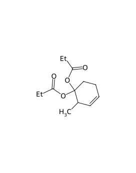 CCC(=O)OC1(OC(=O)CC)CCC=CC1C